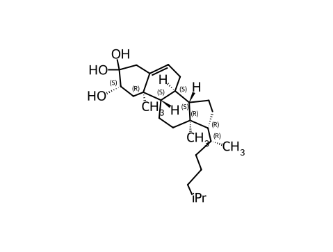 CC(C)CCC[C@@H](C)[C@H]1CC[C@H]2[C@@H]3CC=C4CC(O)(O)[C@@H](O)C[C@]4(C)[C@H]3CC[C@]12C